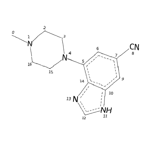 CN1CCN(c2cc(C#N)cc3[nH]cnc23)CC1